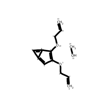 C=CCOc1cc2cc-2c1OCC=C.CO